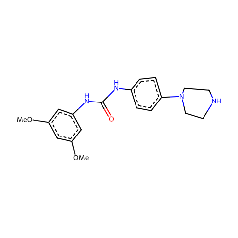 COc1cc(NC(=O)Nc2ccc(N3CCNCC3)cc2)cc(OC)c1